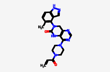 C=CC(=O)N1CCN(c2ncnc3c2NC(=O)N(c2c(C)ccc4[nH]ncc24)C3)CC1